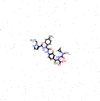 CCn1nccc1C(=O)N[C@H](C(=O)Nc1ccc([C@H](C)[C@@H](NC(=O)N(C)C2CC2)C(=O)O)cc1F)C1CCC(C)CC1